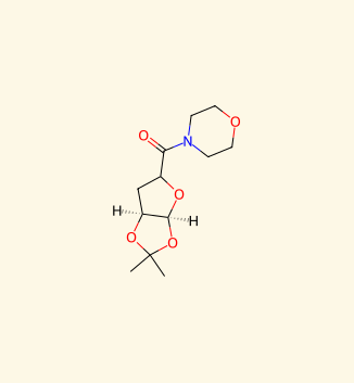 CC1(C)O[C@@H]2OC(C(=O)N3CCOCC3)C[C@@H]2O1